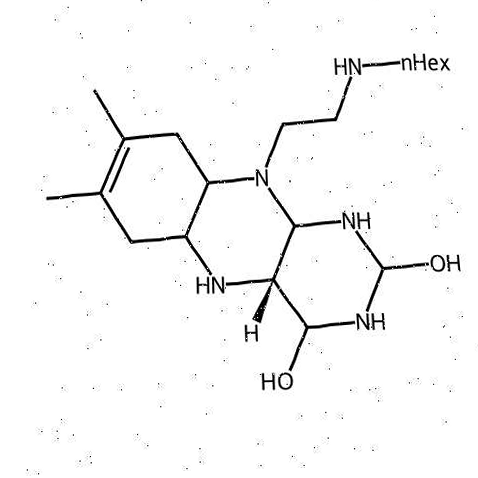 CCCCCCNCCN1C2CC(C)=C(C)CC2N[C@H]2C(O)NC(O)NC21